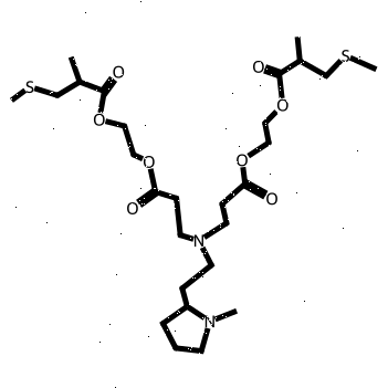 CSCC(C)C(=O)OCCOC(=O)CCN(CCC(=O)OCCOC(=O)C(C)CSC)CCC1CCCN1C